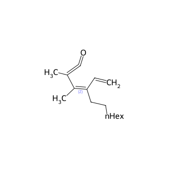 C=C/C(CCCCCCCC)=C(/C)C(C)=C=O